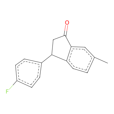 Cc1ccc2c(c1)C(=O)CC2c1ccc(F)cc1